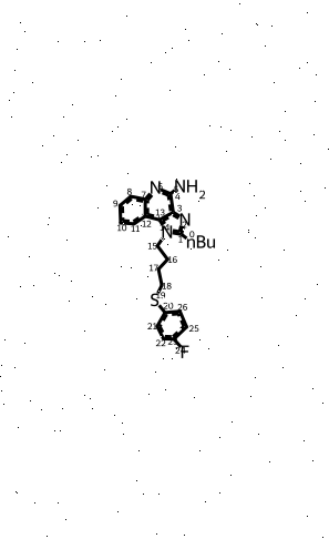 CCCCc1nc2c(N)nc3ccccc3c2n1CCCCSc1ccc(F)cc1